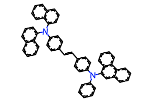 C(=C\c1ccc(N(c2ccccc2)c2cc3ccccc3c3ccccc23)cc1)/c1ccc(N(c2cccc3ccccc23)c2cccc3ccccc23)cc1